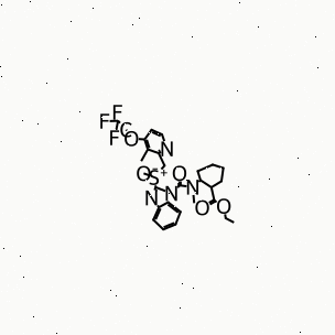 CCOC(=O)C1CCCCC1N(C)C(=O)n1c([S+]([O-])Cc2nccc(OCC(F)(F)F)c2C)nc2ccccc21